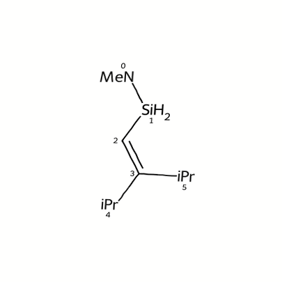 CN[SiH2]C=C(C(C)C)C(C)C